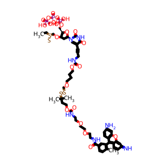 CCS(=S)COC1C[C@H](n2cc(C#CCNC(=O)OCCCCOCSSC(C)(C)CCOC(=O)NCCOCCOCCNC(=O)c3ccc(C)c(-c4c5ccc(=N)cc-5oc5cc(N)ccc45)c3)c(=O)[nH]c2=O)O[C@@H]1COP(=O)(O)OP(=O)(O)OP(=O)(O)O